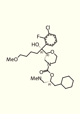 CNC[C@@H](CC1CCCCC1)OC(=O)N1CCO[C@@H]([C@@](O)(CCCCOC)c2cccc(Cl)c2F)C1